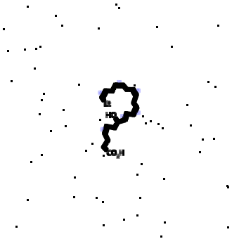 CC/C=C\C/C=C\C/C=C\C/C=C\C=C\C(O)C/C=C\CCC(=O)O